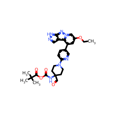 CCOc1cc(-c2ccc(N3CCC(C=O)(NC(=O)OC(=O)C(C)(C)C)CC3)nc2)c2c3cn[nH]c3nn2c1